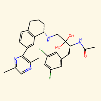 CC(=O)N[C@@H](Cc1cc(F)cc(F)c1)C(O)(O)CN[C@H]1CCCc2ccc(-c3nc(C)cnc3C)cc21